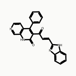 O=C(/C=C/c1nc2ccccc2[nH]1)c1c(-c2ccccc2)c2ccncc2[nH]c1=O